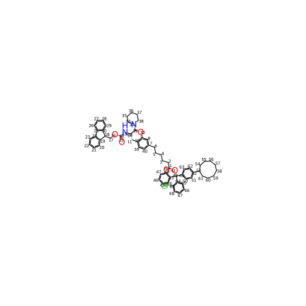 O=C(CCCCCc1ccc(C[C@H](NC(=O)OCC2c3ccccc3-c3ccccc32)C(=O)N2CCCCC2)cc1)OC(c1ccccc1)(c1ccc(C2CCCCCCCC2)cc1)c1ccccc1Cl